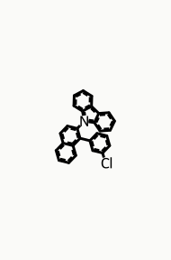 Clc1cccc(-c2c(-n3c4ccccc4c4ccccc43)ccc3ccccc23)c1